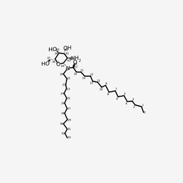 CCCCCCCCCCCCCCCCCC(=O)N(CCCCCCCCCCCCCC)[C@@H]1O[C@H](CO)[C@@H](O)[C@H](O)[C@H]1N